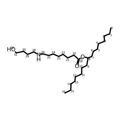 CCCCCCCCC(CCCCCCCC)OC(=O)CCCCCCCNCCCCO